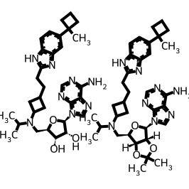 CC(C)N(C[C@H]1O[C@@H](n2cnc3c(N)ncnc32)[C@@H]2OC(C)(C)O[C@@H]21)C1CC(CCc2nc3cc(C4(C)CCC4)ccc3[nH]2)C1.CC(C)N(C[C@H]1O[C@@H](n2cnc3c(N)ncnc32)[C@H](O)[C@@H]1O)C1CC(CCc2nc3cc(C4(C)CCC4)ccc3[nH]2)C1